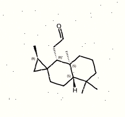 C[C@@H]1CC12CC[C@H]1C(C)(C)CCC[C@]1(C)[C@H]2CC=O